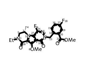 CCN1C[C@H](C)n2c(c(OC)c3c(=O)n(Cc4ccc(F)cc4C(=O)OC)nc(F)c32)C1=O